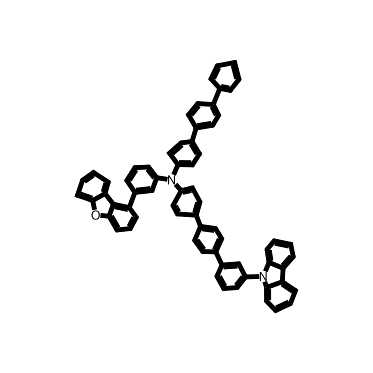 c1ccc(-c2ccc(-c3ccc(N(c4ccc(-c5ccc(-c6cccc(-n7c8ccccc8c8ccccc87)c6)cc5)cc4)c4cccc(-c5cccc6oc7ccccc7c56)c4)cc3)cc2)cc1